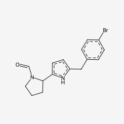 O=CN1CCCC1c1ccc(Cc2ccc(Br)cc2)[nH]1